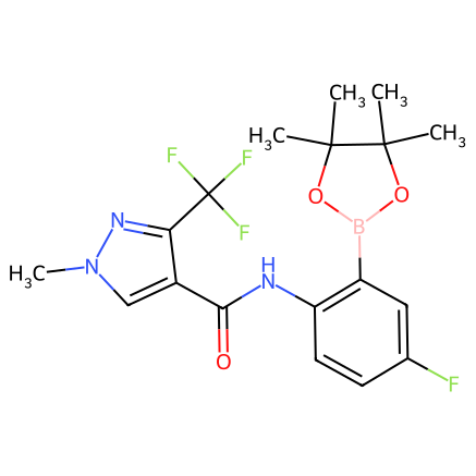 Cn1cc(C(=O)Nc2ccc(F)cc2B2OC(C)(C)C(C)(C)O2)c(C(F)(F)F)n1